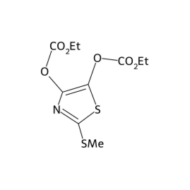 CCOC(=O)Oc1nc(SC)sc1OC(=O)OCC